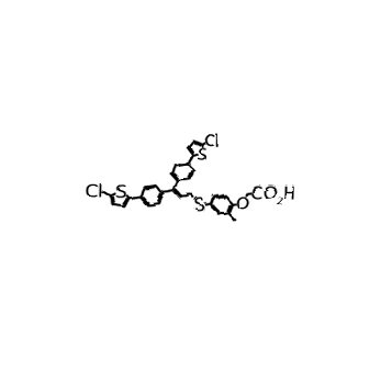 Cc1cc(SCC=C(c2ccc(-c3ccc(Cl)s3)cc2)c2ccc(-c3ccc(Cl)s3)cc2)ccc1OCC(=O)O